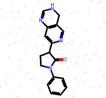 O=C1C(c2cc3c(cn2)CNC=N3)CCN1c1ccccc1